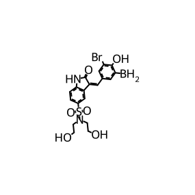 Bc1cc(/C=C2\C(=O)Nc3ccc(S(=O)(=O)N(CCO)CCO)cc32)cc(Br)c1O